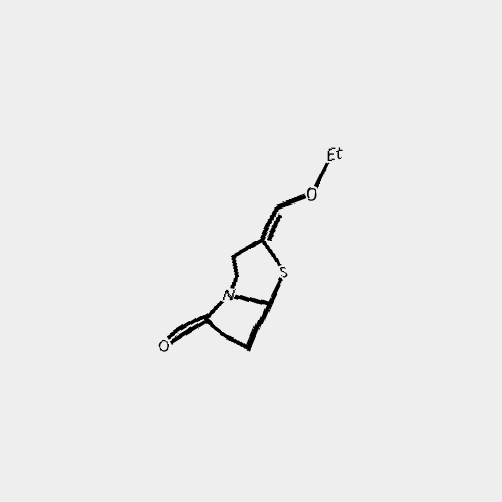 CCOC=C1CN2C(=O)CC2S1